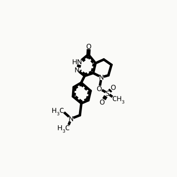 CN(C)Cc1ccc(-c2n[nH]c(=O)c3c2N(OS(C)(=O)=O)CCC3)cc1